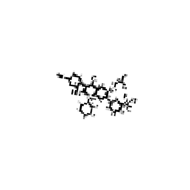 C#Cc1ccc2c(c1)[nH]c1c2c(=O)c2cc(OCC(C)C)c(-c3cccc(S(=O)(=O)F)c3)cc2n1C1CCCCC1